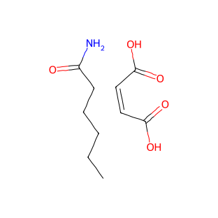 CCCCCC(N)=O.O=C(O)/C=C\C(=O)O